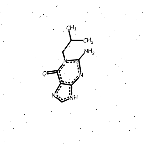 CC(C)Cn1c(N)nc2[nH]cnc2c1=O